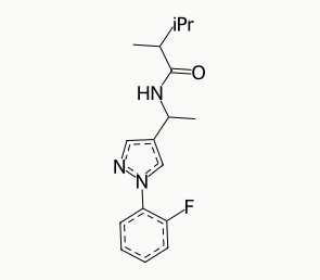 CC(NC(=O)C(C)C(C)C)c1cnn(-c2ccccc2F)c1